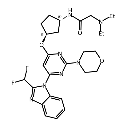 CCN(CC)CC(=O)N[C@H]1CC[C@H](Oc2cc(-n3c(C(F)F)nc4ccccc43)nc(N3CCOCC3)n2)C1